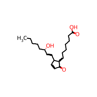 CCCCC[C@H](O)/C=C/C1C=CC(=O)/C1=C/CCCCCC(=O)O